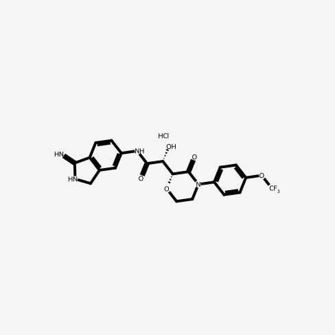 Cl.N=C1NCc2cc(NC(=O)[C@H](O)[C@H]3OCCN(c4ccc(OC(F)(F)F)cc4)C3=O)ccc21